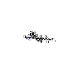 C=C(/C=C(Cl)\C=C(/C)Cl)C1C(C(=O)Nc2ccc(Cl)c(C(=O)NCCC(=O)NCCC(F)(F)F)c2)C1(Cl)Cl